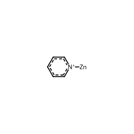 [Zn][n+]1ccccc1